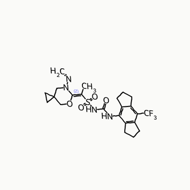 C=NN1CC2(CC2)CO/C1=C(/C)S(=O)(=O)NC(=O)Nc1c2c(c(C(F)(F)F)c3c1CCC3)CCC2